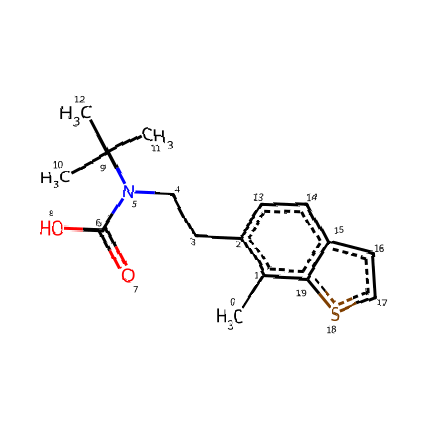 Cc1c(CCN(C(=O)O)C(C)(C)C)ccc2ccsc12